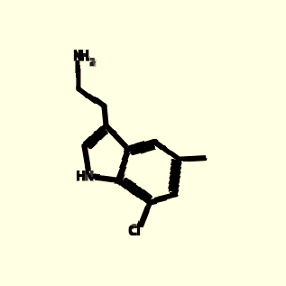 Cc1cc(Cl)c2[nH]cc(CCN)c2c1